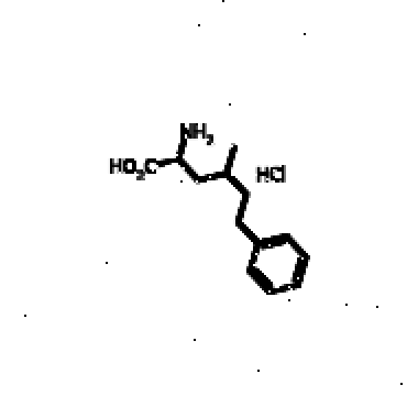 CC(CCc1ccccc1)C[C@H](N)C(=O)O.Cl